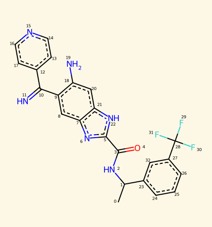 CC(NC(=O)c1nc2cc(C(=N)c3ccncc3)c(N)cc2[nH]1)c1cccc(C(F)(F)F)c1